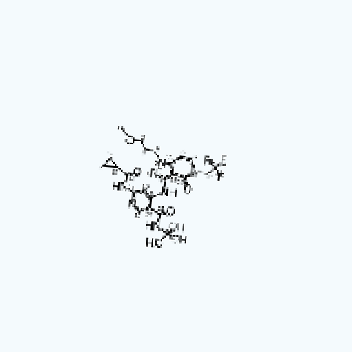 COCCCn1nc(Nc2cc(NC(=O)C3CC3)ncc2C(=O)NC(O)(O)O)c2c(=O)n(CC(F)(F)F)ccc21